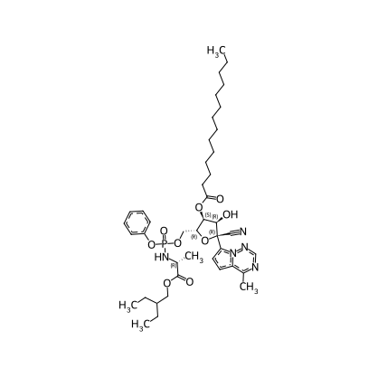 CCCCCCCCCCCCCC(=O)O[C@H]1[C@@H](O)[C@](C#N)(c2ccc3c(C)ncnn23)O[C@@H]1COP(=O)(N[C@H](C)C(=O)OCC(CC)CC)Oc1ccccc1